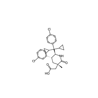 C[C@@]1(CC(=O)O)C[C@H](c2cccc(Cl)c2)[C@@H](C(c2ccc(Cl)cc2)(C2CC2)C2CC2)NC1=O